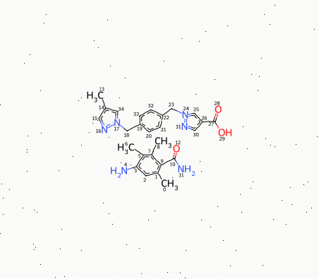 Cc1cc(N)c(C)c(C)c1C(N)=O.Cc1cnn(Cc2ccc(Cn3cc(C(=O)O)cn3)cc2)c1